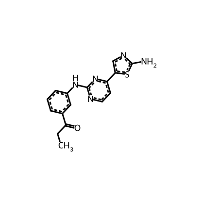 CCC(=O)c1cccc(Nc2nccc(-c3cnc(N)s3)n2)c1